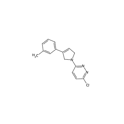 Cc1cccc(C2=CCN(c3ccc(Cl)nn3)C2)c1